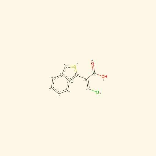 O=C(O)C(=CCl)c1scc2ccccc12